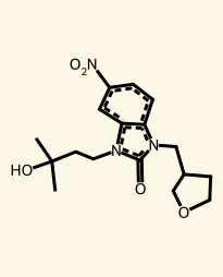 CC(C)(O)CCn1c(=O)n(CC2CCOC2)c2ccc([N+](=O)[O-])cc21